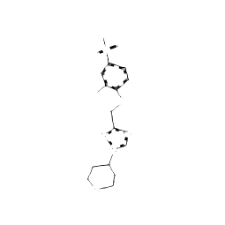 CS(=O)(=O)c1ccc(OCc2ncn(C3CCNCC3)n2)c(F)c1.Cl